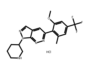 COc1cc(C(F)(F)F)cc(C)c1-c1cc2cnn(C3CCCNC3)c2nn1.Cl